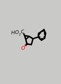 O=C(O)C1C2C(=O)CC(c3ccccc3)C12